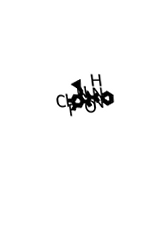 O=c1c(-c2nc3ccccc3[nH]2)cn(C2CC2)c2cc(Cl)c(F)cc12